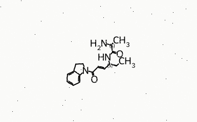 CC[C@@H](C=CC(=O)N1CCc2ccccc21)NC(=O)[C@H](C)N